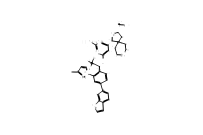 Cc1ccn(-c2cc(-c3ccc4cc[nH]c4c3)ccc2[C@@H](Oc2cc([C@H]3N[C@H](C(=O)O)CC34CCNCC4)nc(N)n2)C(F)(F)F)n1